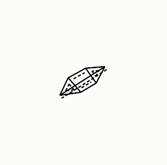 c12c3c1c1c2c31